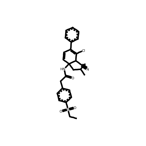 CCS(=O)(=O)c1ccc(CC(=O)NC2(CC(C)C)C=CC(c3ccccc3)=C(Cl)C2C#N)cc1